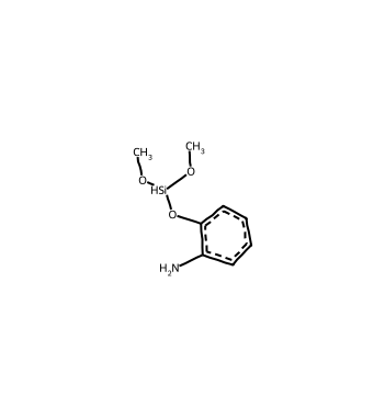 CO[SiH](OC)Oc1ccccc1N